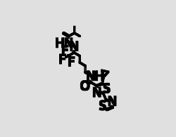 C=C(N/N=C(/CCCCNC(=O)c1nc(-c2nccs2)sc1C1CC1)C(F)(F)F)C(C)C